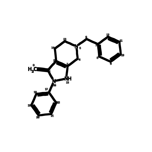 C=C1C2=C(CN(Cc3ccccc3)CC2)NN1c1ccccc1